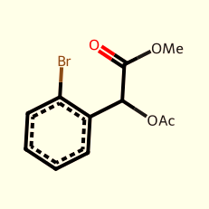 COC(=O)C(OC(C)=O)c1ccccc1Br